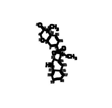 CN1C(=O)COc2cc(S(=O)(=O)N(C)C3=Cc4ccccc4NC3)ccc21